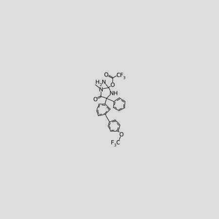 CN1C(=O)C(c2ccccc2)(c2cccc(-c3ccc(OC(F)(F)F)cc3)c2)NC1(N)OC(=O)C(F)(F)F